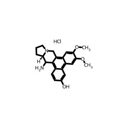 COc1cc2c3c(c4ccc(O)cc4c2cc1OC)C(N)[C@@H]1CCCN1C3.Cl